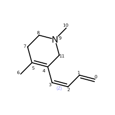 C=C/C=C\C1=C(C)CCN(C)C1